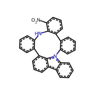 O=[N+]([O-])c1cccc2c1Nc1ccccc1-c1cccc3c4ccccc4n(c13)-c1ccccc1-2